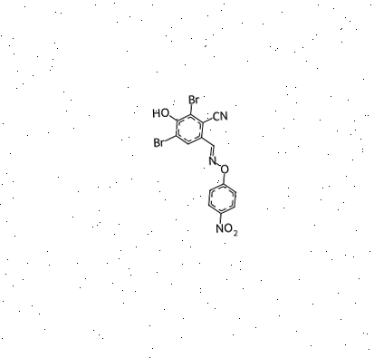 N#Cc1c(C=NOc2ccc([N+](=O)[O-])cc2)cc(Br)c(O)c1Br